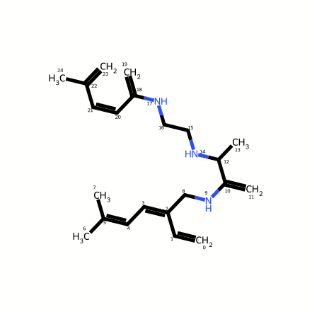 C=C/C(=C\C=C(C)C)CNC(=C)C(C)NCCNC(=C)/C=C\C(=C)C